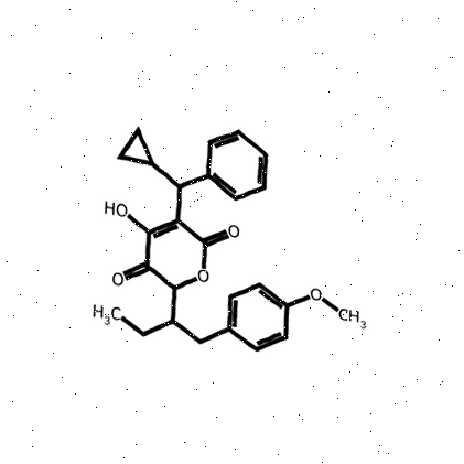 CCC(Cc1ccc(OC)cc1)C1OC(=O)C(C(c2ccccc2)C2CC2)=C(O)C1=O